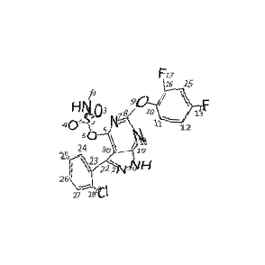 CNS(=O)(=O)Oc1nc(Oc2ccc(F)cc2F)nc2[nH]nc(-c3ccccc3Cl)c12